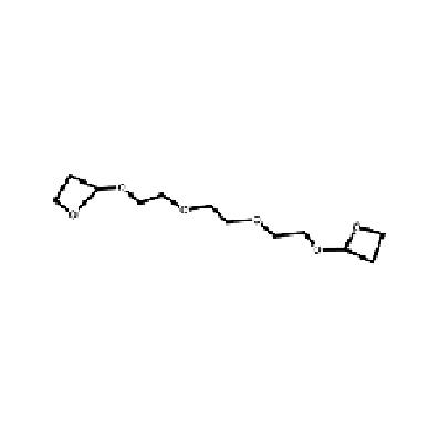 C(COCCOC1CCO1)OCCOC1CCO1